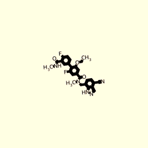 CCOc1cc(C(=O)N(C)Cc2ccc(C#N)c3cn[nH]c23)cc(F)c1-c1ccc(F)c(C(=O)NC)c1